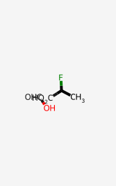 CC(F)C(=O)O.O=CO